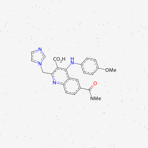 CNC(=O)c1ccc2nc(Cn3ccnc3)c(C(=O)O)c(Nc3ccc(OC)cc3)c2c1